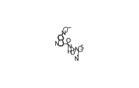 CC1CCN(c2ccc3nccc(C(=O)NCC(=O)N4CSCC4C#N)c3c2)C1